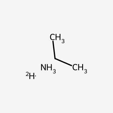 CCC.N.[2H]